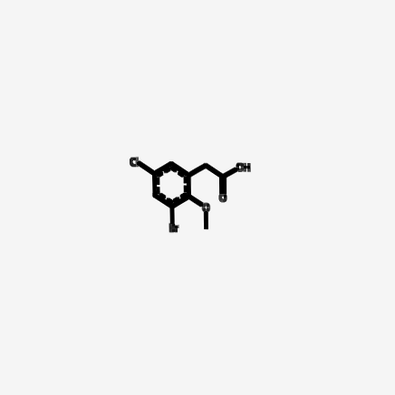 COc1c(Br)cc(Cl)cc1CC(=O)O